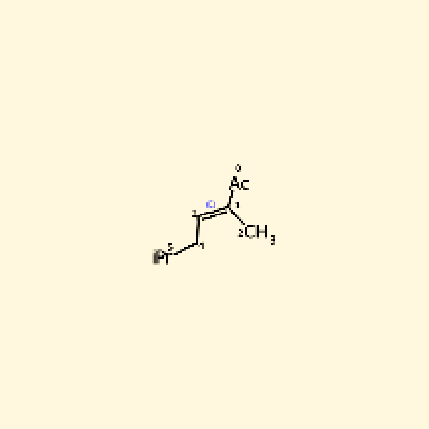 CC(=O)/C(C)=C/CC(C)C